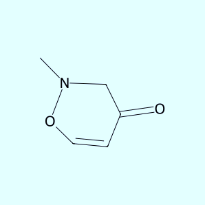 CN1CC(=O)C=CO1